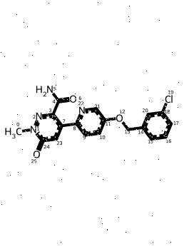 Cn1nc(C(N)=O)c(-c2ccc(OCc3cccc(Cl)c3)cn2)cc1=O